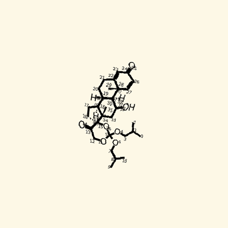 CC(C)COC1(OCC(C)C)OCC(=O)[C@]2(CC[C@H]3[C@@H]4CCC5=CC(=O)C=C[C@]5(C)[C@H]4C(O)C[C@@]32C)O1